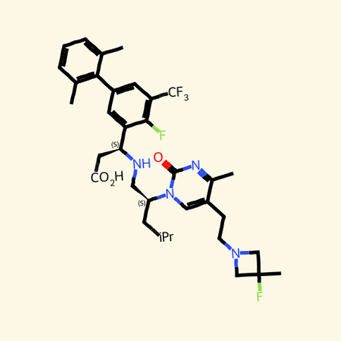 Cc1cccc(C)c1-c1cc([C@H](CC(=O)O)NC[C@H](CC(C)C)n2cc(CCN3CC(C)(F)C3)c(C)nc2=O)c(F)c(C(F)(F)F)c1